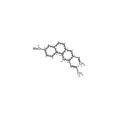 C=Cc1cc2ccc3cc(OC)ccc3c2nc1/C=C/C